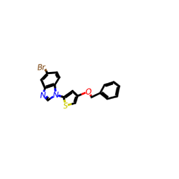 Brc1ccc2c(c1)ncn2-c1cc(OCc2ccccc2)cs1